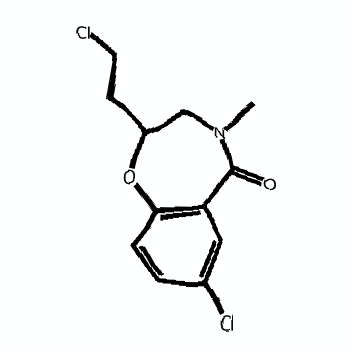 CN1CC(CCCl)Oc2ccc(Cl)cc2C1=O